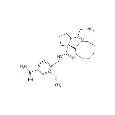 COc1cc(C(=N)N)ccc1CNC(=O)[C@]1(C2CCCCCCC2)CCCN1C(=O)CN